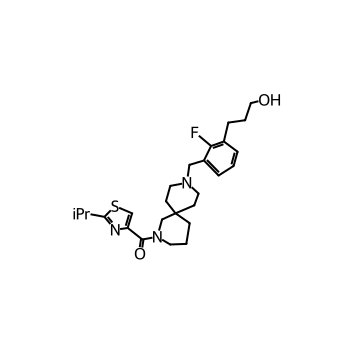 CC(C)c1nc(C(=O)N2CCCC3(CCN(Cc4cccc(CCCO)c4F)CC3)C2)cs1